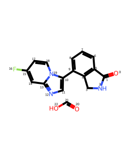 O=C1NCc2c1cccc2-c1cnc2cc(F)ccn12.O=CO